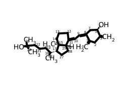 C=C1CC(=C)[C@H](O)C/C1=C/C=C1\CCC[C@]2(C)[C@@H](C(C)CCCC(C)(C)O)CC[C@@H]12